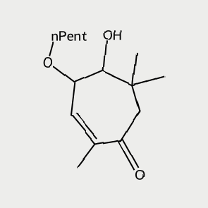 CCCCCOC1C=C(C)C(=O)CC(C)(C)C1O